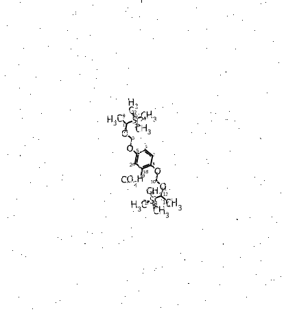 CC(OCOc1ccc(OCOC(C)[Si](C)(C)C)c(C(=O)O)c1)[Si](C)(C)C